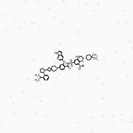 CC(C)c1ccccc1[C@H]1CCCN1C1CC2(CCN(c3ccc(C(=O)NS(=O)(=O)c4cc5c(c([N+](=O)[O-])c4)O[C@@H](C4CCC(C)(C)CC4)CN5)c(Oc4cnc5[nH]ccc5c4)c3)CC2)C1